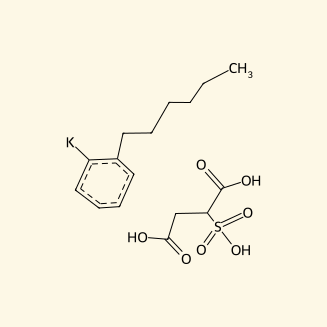 CCCCCCc1cccc[c]1[K].O=C(O)CC(C(=O)O)S(=O)(=O)O